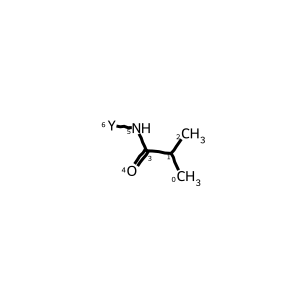 CC(C)C(=O)[NH][Y]